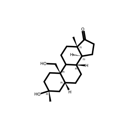 C[C@@]1(O)CC[C@]2(CO)C3CC[C@]4(C)C(=O)CC[C@H]4[C@@H]3CC[C@@H]2C1